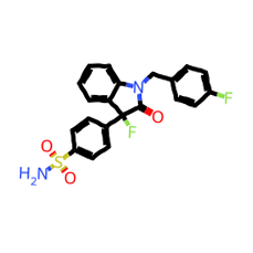 NS(=O)(=O)c1ccc(C2(F)C(=O)N(Cc3ccc(F)cc3)c3ccccc32)cc1